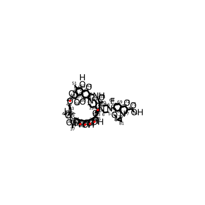 COc1c(N2CCN(C(=O)C3CCN(C4=C5NC(=O)/C(C)=C\C=C\[C@H](C)[C@H](O)[C@@H](C)[C@@H](O)[C@@H](C)[C@H](OC(C)=O)C[C@@H](OC)/C=C/O[C@@]6(C)Oc7c(C)c(O)c(c(c7C6=O)C4=O)C5=O)CC3)CC2)c(F)cc2c(=O)c(C(=O)O)cn(C3CC3)c12